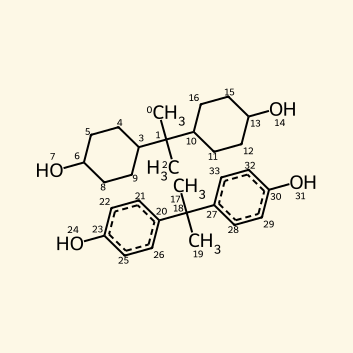 CC(C)(C1CCC(O)CC1)C1CCC(O)CC1.CC(C)(c1ccc(O)cc1)c1ccc(O)cc1